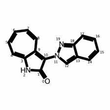 O=c1[nH]c2cccccc-2c1-n1cc2ccccc2n1